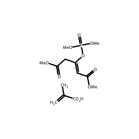 C=C(C)C(=O)O.COC(=O)/C=C(/CC(=O)OC)OP(=O)(OC)OC